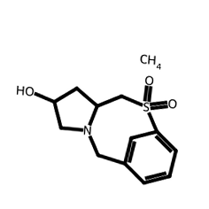 C.O=S1(=O)CC2CC(O)CN2Cc2cccc1c2